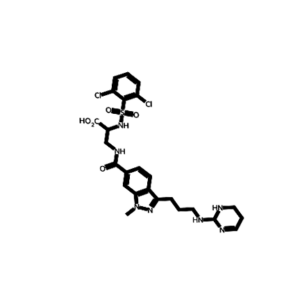 Cn1nc(CCCNC2N=CCCN2)c2ccc(C(=O)NCC(NS(=O)(=O)c3c(Cl)cccc3Cl)C(=O)O)cc21